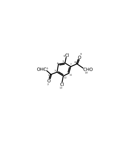 O=CC(=O)c1cc(Cl)c(C(=O)C=O)cc1Cl